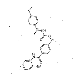 CSc1ccc([C@H](C)NC(=O)O[C@H](C)c2ccc(C(=O)Nc3ccccc3S)cc2)cc1